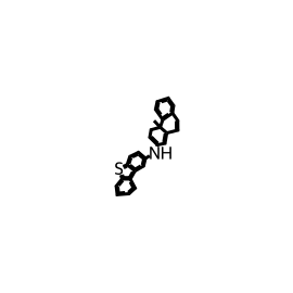 CC12CC=C(Nc3ccc4sc5ccccc5c4c3)C=C1C=Cc1ccccc12